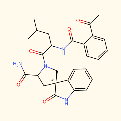 CC(=O)c1ccccc1C(=O)NC(CC(C)C)C(=O)N1C[C@]2(CC1C(N)=O)C(=O)Nc1ccccc12